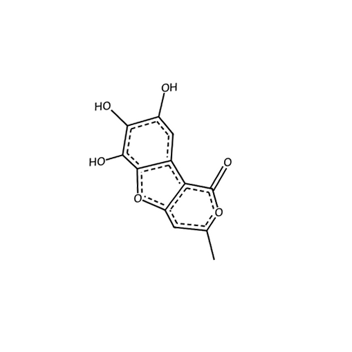 Cc1cc2oc3c(O)c(O)c(O)cc3c2c(=O)o1